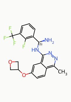 Cc1nnc(N[C@H](N)c2cccc(C(F)(F)F)c2F)c2cc(OC3COC3)ccc12